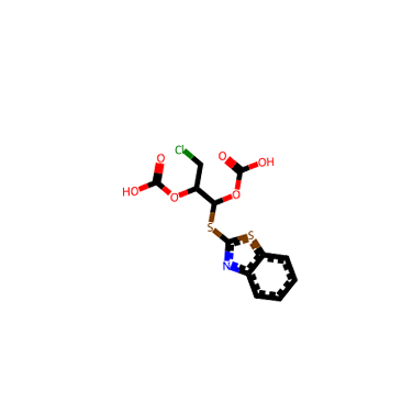 O=C(O)OC(CCl)C(OC(=O)O)Sc1nc2ccccc2s1